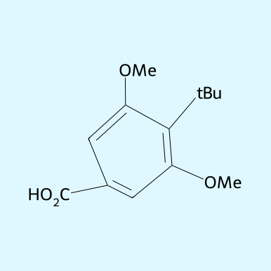 COc1cc(C(=O)O)cc(OC)c1C(C)(C)C